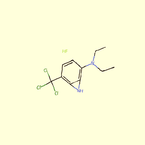 CCN(CC)c1ccc(C(Cl)(Cl)Cl)c2c1N2.F